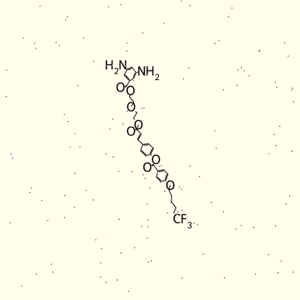 Nc1cc(N)cc(C(=O)OCCOCCOC(=O)C=Cc2ccc(OC(=O)c3ccc(OCCCCCC(F)(F)F)cc3)cc2)c1